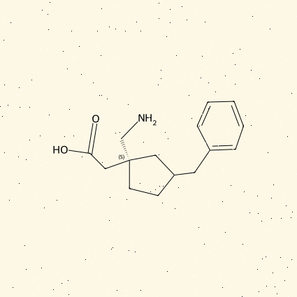 NC[C@@]1(CC(=O)O)CCC(Cc2ccccc2)C1